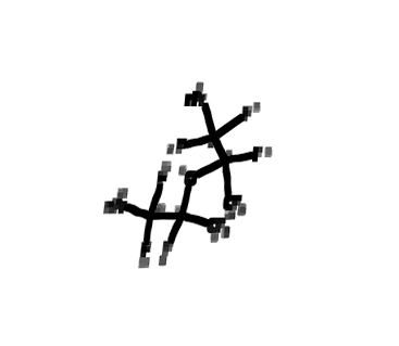 CCCC(F)(F)C(F)(OC(F)(C(F)(F)F)C(F)(F)CCC)C(F)(F)F